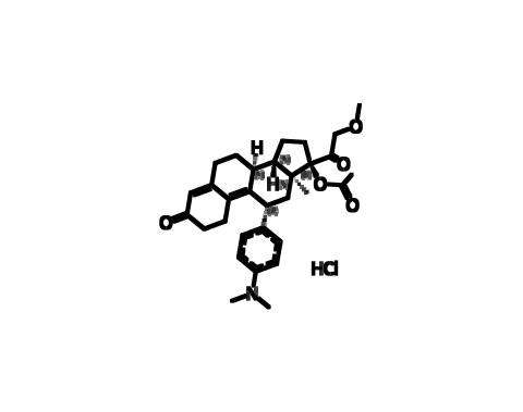 COCC(=O)[C@@]1(OC(C)=O)CC[C@H]2[C@@H]3CCC4=CC(=O)CCC4=C3[C@@H](c3ccc(N(C)C)cc3)C[C@@]21C.Cl